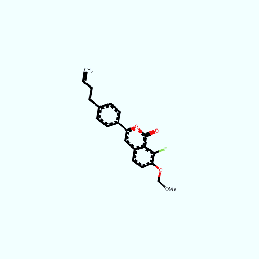 C=CCCc1ccc(-c2cc3ccc(OCOC)c(F)c3c(=O)o2)cc1